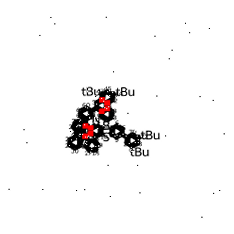 CC(C)(C)c1cc(-c2ccc3c(c2)Sc2cc(C4(c5ccccc5)c5ccccc5-c5ccccc54)cc4c2B3c2ccc(-c3cc(C(C)(C)C)cc(C(C)(C)C)c3)cc2N4c2c(-c3ccccc3)cccc2-c2ccccc2)cc(C(C)(C)C)c1